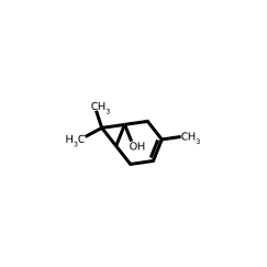 CC1=CCC2C(C)(C)C2(O)C1